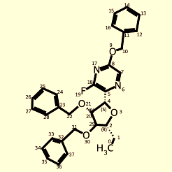 CC[C@H]1O[C@@H](c2ncc(OCc3ccccc3)nc2F)[C@@H](OCc2ccccc2)C1OCc1ccccc1